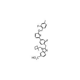 Cc1ccc(COc2cccc(-c3ccc(Cc4nc5ccc(C(=O)O)cc5n4CC4(C)CCC4)c(F)c3)n2)c(F)c1